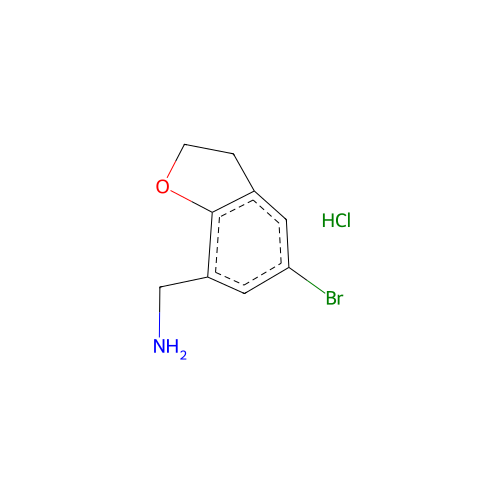 Cl.NCc1cc(Br)cc2c1OCC2